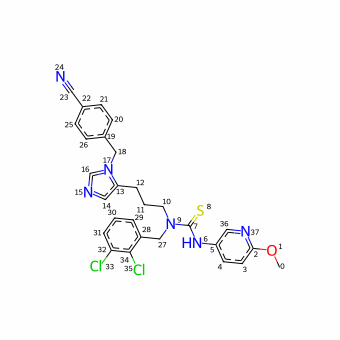 COc1ccc(NC(=S)N(CCCc2cncn2Cc2ccc(C#N)cc2)Cc2cccc(Cl)c2Cl)cn1